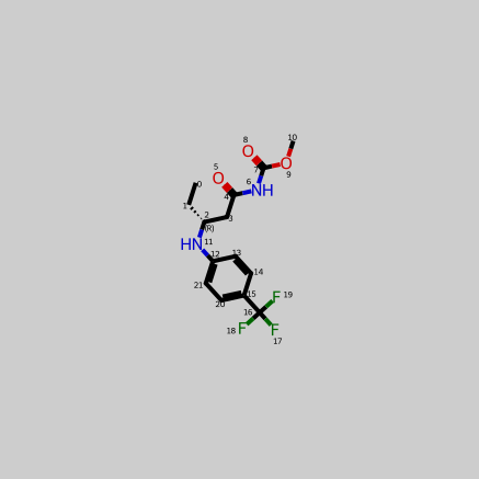 CC[C@H](CC(=O)NC(=O)OC)Nc1ccc(C(F)(F)F)cc1